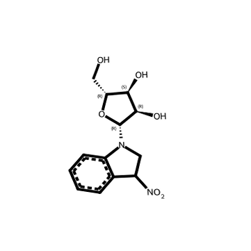 O=[N+]([O-])C1CN([C@@H]2O[C@H](CO)[C@@H](O)[C@H]2O)c2ccccc21